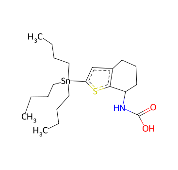 CCC[CH2][Sn]([CH2]CCC)([CH2]CCC)[c]1cc2c(s1)C(NC(=O)O)CCC2